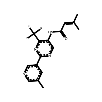 CC(C)=CC(=O)Nc1cnc(-c2cncc(C)c2)nc1C(F)(F)F